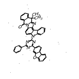 CC1(C)c2ccccc2C(=O)n2c1nc1c3c4ccccc4n(-c4nc(-c5ccccc5)nc(-c5ccc6c(c5)oc5ccccc56)n4)c3ccc12